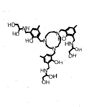 Cc1cc(CNC(O)CO)c(O)c(CN2CCCN(Cc3cc(C)cc(CNC(O)CO)c3O)CCN(Cc3cc(C)cc(CNC(O)CO)c3O)CCC2)c1